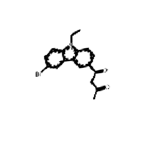 CCn1c2ccc(Br)cc2c2cc(C(=O)CC(C)=O)ccc21